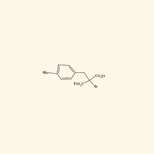 CCOC(=O)C(Br)(Cc1ccc(C(C)(C)C)cc1)C(=O)OCC